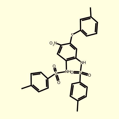 Cc1ccc(S(=O)(=O)Nc2cc(Sc3cccc(C)c3)c([N+](=O)[O-])cc2NS(=O)(=O)c2ccc(C)cc2)cc1